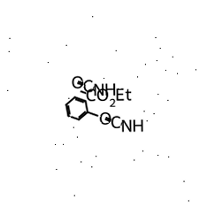 CCOC(C)=O.Cc1ccccc1.N=C=O.N=C=O